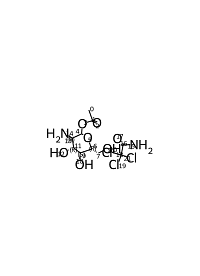 CC(=O)OC1O[C@H](CO)[C@@H](O)[C@H](O)[C@H]1N.NC(=O)C(Cl)(Cl)Cl